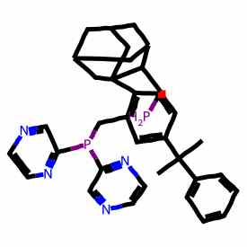 CC(C)(c1ccccc1)c1ccc(C23CC4CC(CC(C4)C2CP)C3)c(CP(c2cnccn2)c2cnccn2)c1